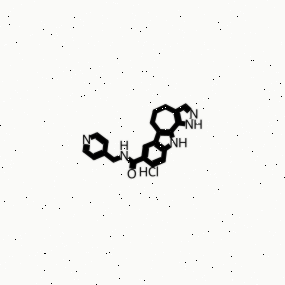 Cl.O=C(NCc1ccncc1)c1ccc2[nH]c3c(c2c1)CCCc1cn[nH]c1-3